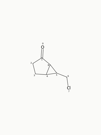 O=C1CCC2C(CCl)C12